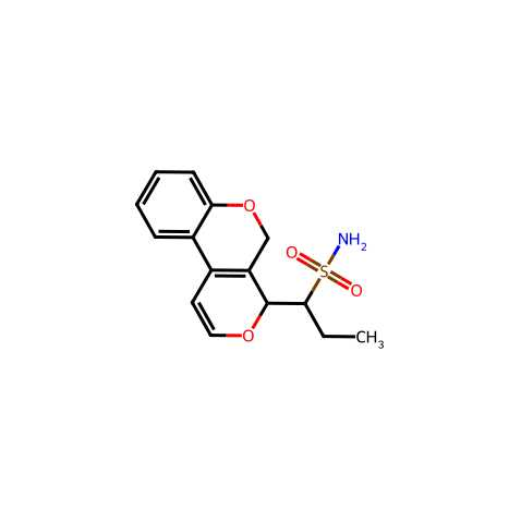 CCC(C1OC=CC2=C1COc1ccccc12)S(N)(=O)=O